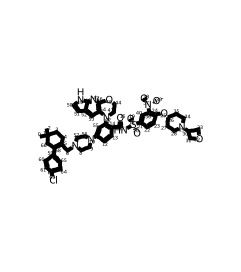 CC1(C)CCC(CN2CCN(c3ccc(C(=O)NS(=O)(=O)c4ccc(OC5CCN(C6COC6)CC5)c([N+](=O)[O-])c4)c(N4CCOc5nc6[nH]ccc6cc54)c3)CC2)=C(c2ccc(Cl)cc2)C1